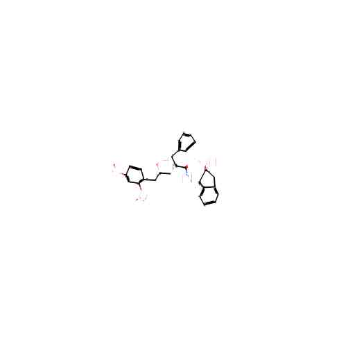 COc1ccc(C[C@@H](O)C[C@@H](Cc2ccccc2)C(=O)N[C@H]2c3ccccc3C[C@H]2O)c(OC)c1